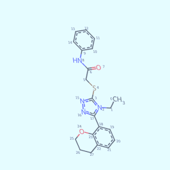 CCn1c(SCC(=O)Nc2ccccc2)nnc1-c1cccc2c1OCCC2